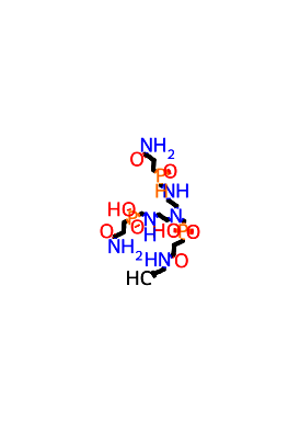 C#CCNC(=O)CCP(=O)(O)CN(CCNC[PH](=O)CCC(N)=O)CCNCP(=O)(O)CCC(N)=O